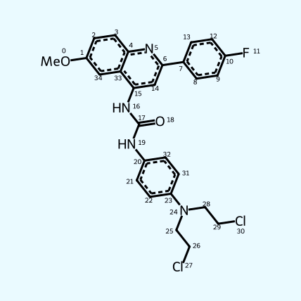 COc1ccc2nc(-c3ccc(F)cc3)cc(NC(=O)Nc3ccc(N(CCCl)CCCl)cc3)c2c1